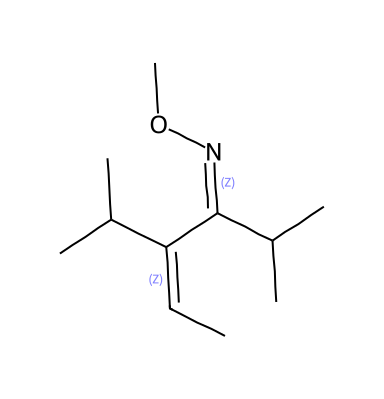 C/C=C(\C(=N/OC)C(C)C)C(C)C